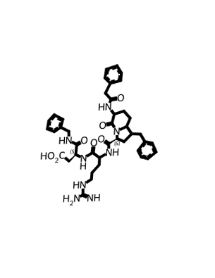 N=C(N)NCCCC(NC(=O)[C@@H]1CC(Cc2ccccc2)C2CCC(NC(=O)Cc3ccccc3)C(=O)N21)C(=O)N[C@@H](CC(=O)O)C(=O)NCc1ccccc1